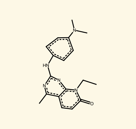 CCn1c(=O)ccc2c(C)nc(Nc3ccc(N(C)C)cc3)nc21